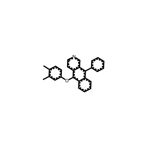 Cc1ccc(Oc2c3ccccc3c(-c3ccccc3)c3cnccc23)cc1C